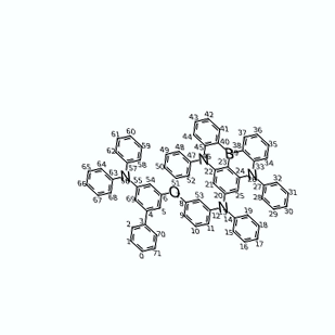 c1ccc(-c2cc(Oc3cccc(N(c4ccccc4)c4cc5c6c(c4)N(c4ccccc4)c4ccccc4B6c4ccccc4N5c4ccccc4)c3)cc(N(c3ccccc3)c3ccccc3)c2)cc1